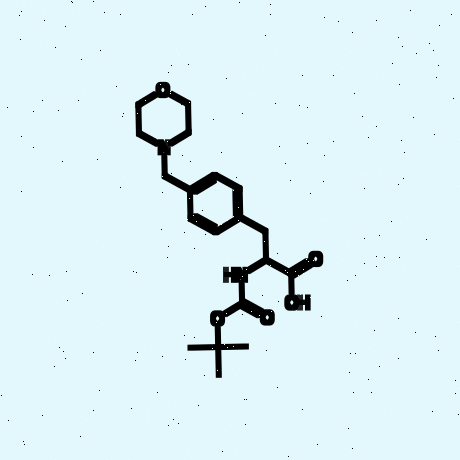 CC(C)(C)OC(=O)NC(Cc1ccc(CN2CCOCC2)cc1)C(=O)O